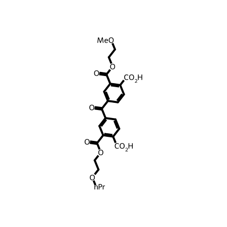 CCCOCCOC(=O)c1cc(C(=O)c2ccc(C(=O)O)c(C(=O)OCCOC)c2)ccc1C(=O)O